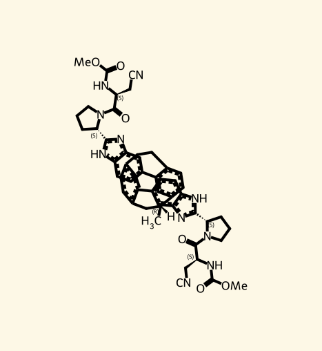 COC(=O)N[C@@H](CC#N)C(=O)N1CCC[C@H]1c1nc2cc(-c3cc4ccc3CCc3ccc(c(-c5ccc6[nH]c([C@@H]7CCCN7C(=O)[C@H](CC#N)NC(=O)OC)nc6c5)c3)C[C@H]4C)ccc2[nH]1